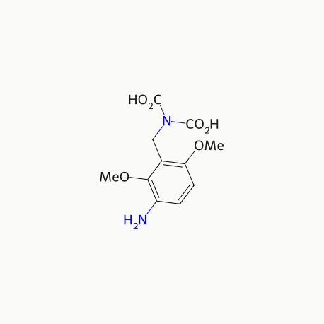 COc1ccc(N)c(OC)c1CN(C(=O)O)C(=O)O